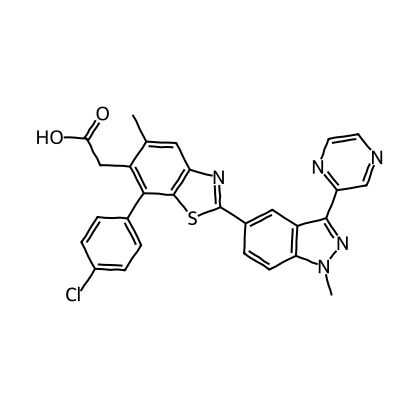 Cc1cc2nc(-c3ccc4c(c3)c(-c3cnccn3)nn4C)sc2c(-c2ccc(Cl)cc2)c1CC(=O)O